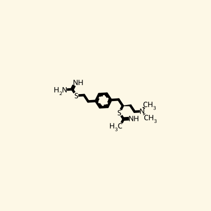 CC(=N)S[C@H](CCN(C)C)Cc1ccc(CCSC(=N)N)cc1